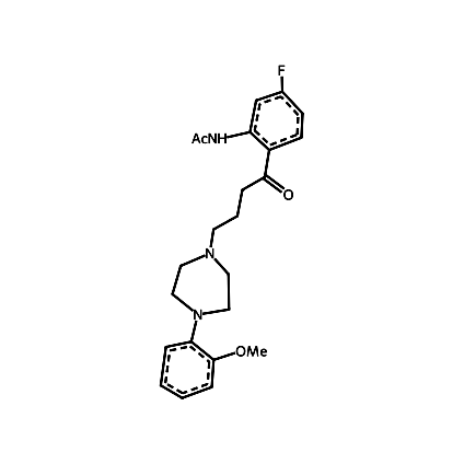 COc1ccccc1N1CCN(CCCC(=O)c2ccc(F)cc2NC(C)=O)CC1